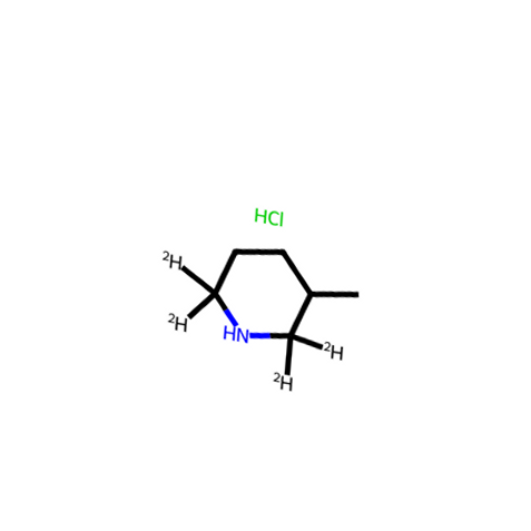 Cl.[2H]C1([2H])CCC(C)C([2H])([2H])N1